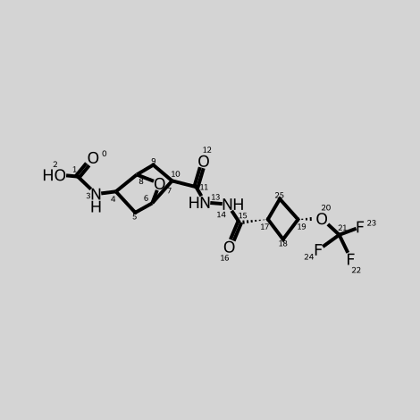 O=C(O)NC1CC2OC1CC2C(=O)NNC(=O)[C@H]1C[C@@H](OC(F)(F)F)C1